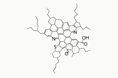 CCCCCC1CCC2Sc3c(c4c5c6c7c(c(C(=O)O)cc6c6c8nc9c(c%10cc%11c%12c%13c%14c%15c(cc(CC(CCC)CCCC)cc%15nc%15c3c5c6c(c%15%14)c%12c%108)C3CC(CCC)CC(C%11)C%133)C(CCCCC)CC9CCC)C(CCC)CC(C)C7[S+]4[O-])C2C1